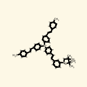 Cc1ccc(/C=C/c2ccc(N(c3ccc(/C=C/c4ccc(C)cc4)cc3)c3ccc(/C=C/c4cccc(B5CC(C)(C)C(C)(C)O5)c4)cc3)cc2)cc1